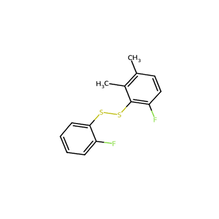 Cc1ccc(F)c(SSc2ccccc2F)c1C